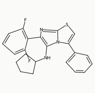 Fc1cccc(F)c1-c1nc2scc(-c3ccccc3)n2c1NC1CCCC1